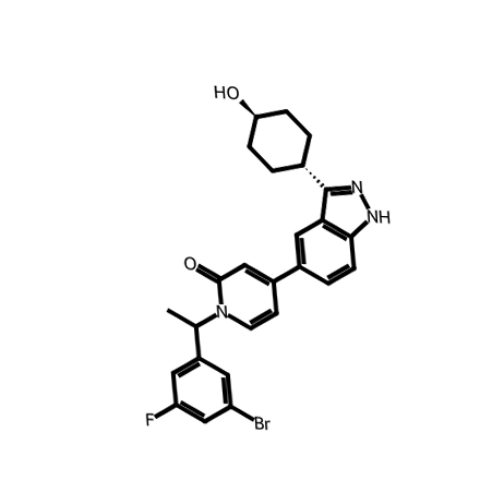 CC(c1cc(F)cc(Br)c1)n1ccc(-c2ccc3[nH]nc([C@H]4CC[C@H](O)CC4)c3c2)cc1=O